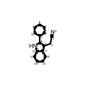 N#CCc1c(-c2ccccc2)[nH]c2ccccc12